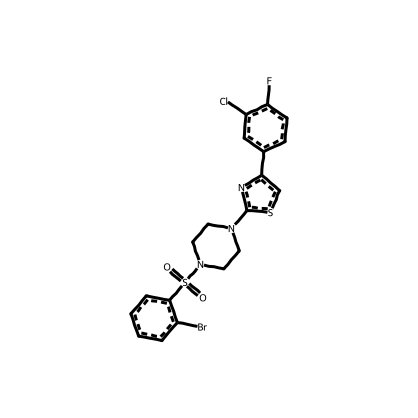 O=S(=O)(c1ccccc1Br)N1CCN(c2nc(-c3ccc(F)c(Cl)c3)cs2)CC1